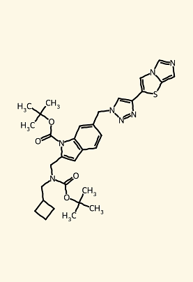 CC(C)(C)OC(=O)N(Cc1cc2ccc(Cn3cc(-c4cn5cncc5s4)nn3)cc2n1C(=O)OC(C)(C)C)CC1CCC1